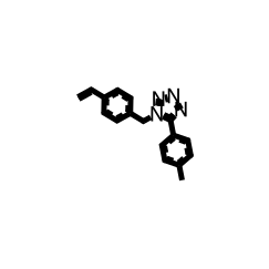 C=Cc1ccc(Cn2nnnc2-c2ccc(C)cc2)cc1